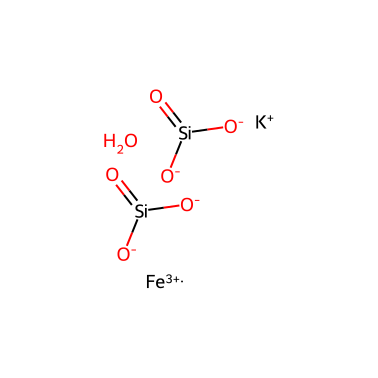 O.O=[Si]([O-])[O-].O=[Si]([O-])[O-].[Fe+3].[K+]